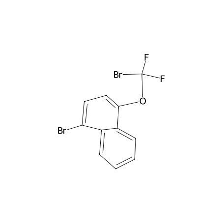 FC(F)(Br)Oc1ccc(Br)c2ccccc12